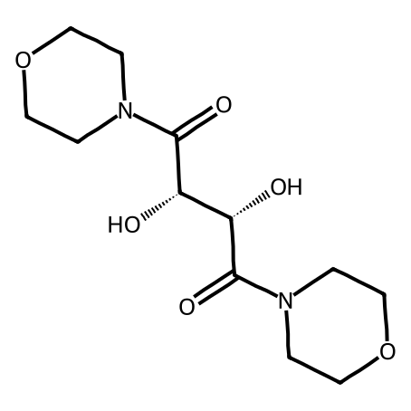 O=C([C@@H](O)[C@H](O)C(=O)N1CCOCC1)N1CCOCC1